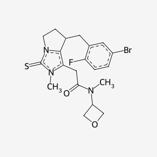 CN(C(=O)Cc1c2n(c(=S)n1C)CCC2Cc1cc(Br)ccc1F)C1COC1